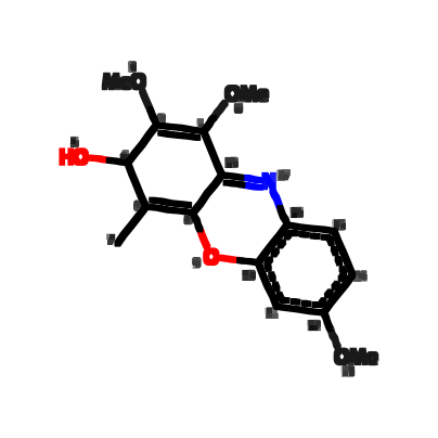 COC1=C(OC)C(O)C(C)=C2Oc3cc(OC)ccc3N=C21